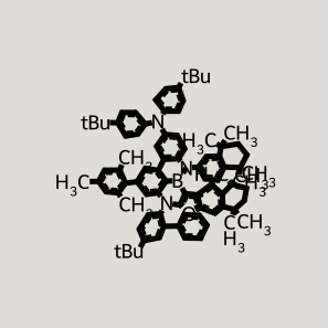 Cc1cc(C)c(-c2cc3c4c(c2)N(c2ccc(C(C)(C)C)cc2-c2ccccc2)c2oc5cc6c(cc5c2B4N(c2ccc4c(c2)C(C)(C)CCC4(C)C)c2ccc(N(c4ccc(C(C)(C)C)cc4)c4ccc(C(C)(C)C)cc4)cc2-3)C(C)(C)CCC6(C)C)c(C)c1